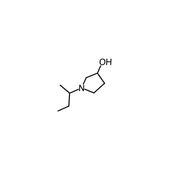 CCC(C)N1CCC(O)C1